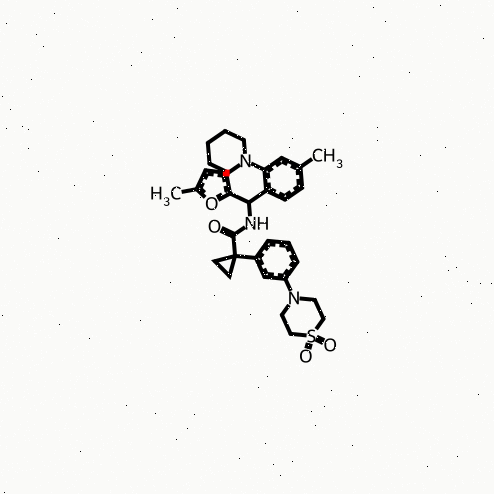 Cc1ccc(C(NC(=O)C2(c3cccc(N4CCS(=O)(=O)CC4)c3)CC2)c2ccc(C)o2)c(N2CCCCC2)c1